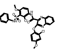 COc1ccc(Oc2nc3ccccc3nc2C(=O)Nc2ccc(OC)c(S(=O)(=O)Nc3ccccc3)c2Cl)c(Cl)c1